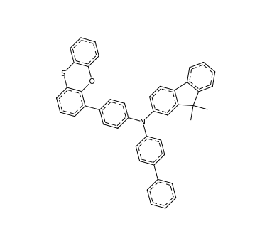 CC1(C)c2ccccc2-c2ccc(N(c3ccc(-c4ccccc4)cc3)c3ccc(-c4cccc5c4Oc4ccccc4S5)cc3)cc21